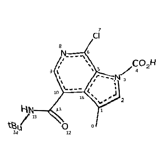 Cc1cn(C(=O)O)c2c(Cl)ncc(C(=O)NC(C)(C)C)c12